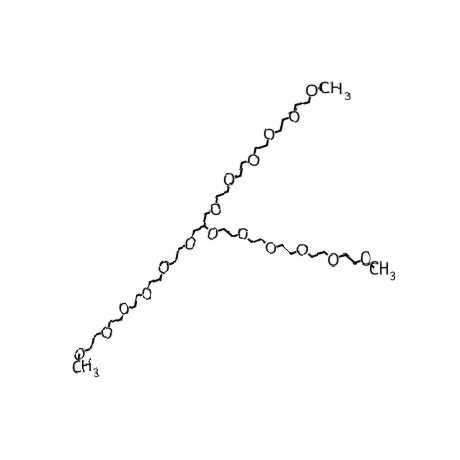 COCCOCCOCCOCCOCCOCC(COCCOCCOCCOCCOCCOC)OCCOCCOCCOCCOCCOC